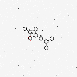 c1ccc(-c2cc(-c3ccc(-c4nc(-c5ccccc5)cc(-c5ccccc5)n4)cn3)nc(-c3ncccc3-c3nc(-c4ccccc4)cc(-c4ccccc4)n3)c2)cc1